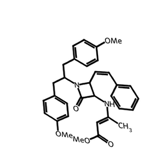 COC(=O)C=C(C)NC1C(=O)N(C(Cc2ccc(OC)cc2)Cc2ccc(OC)cc2)C1C=Cc1ccccc1